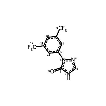 O=c1[nH]cnn1-c1cc(C(F)(F)F)cc(C(F)(F)F)c1